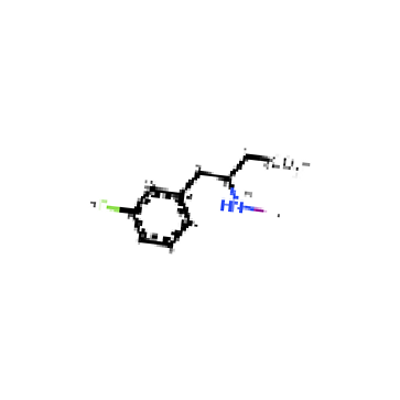 O=C(O)CC(Cc1cccc(F)c1)NI